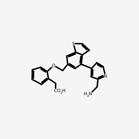 NCc1cc(-c2cc(COc3ccccc3CC(=O)O)cc3sccc23)ccn1